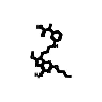 CCCCOc1nc(N)c2nc(OC)n(CCCNc3cccc(C(C)C(=O)O)c3)c2n1